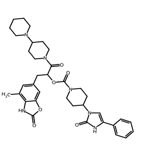 Cc1cc(CC(OC(=O)N2CCC(n3cc(-c4ccccc4)[nH]c3=O)CC2)C(=O)N2CCC(N3CCCCC3)CC2)cc2oc(=O)[nH]c12